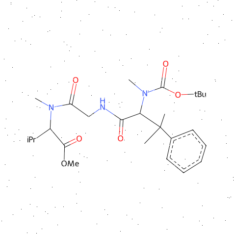 COC(=O)C(C(C)C)N(C)C(=O)CNC(=O)C(N(C)C(=O)OC(C)(C)C)C(C)(C)c1ccccc1